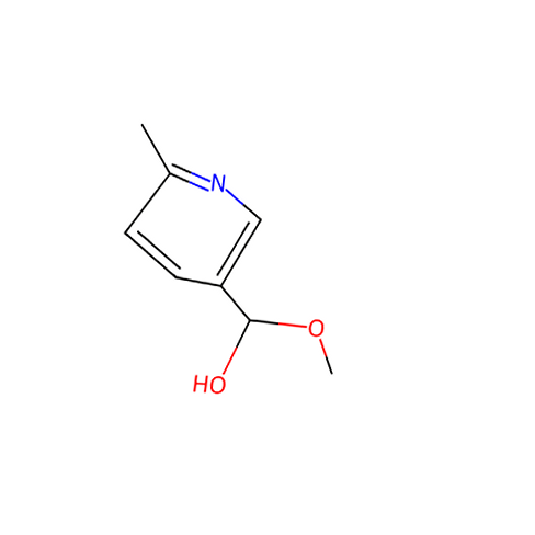 COC(O)c1ccc(C)nc1